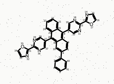 c1ccc(-c2ccc3c(-c4cnc(-c5ncco5)nc4)c4ccccc4c(-c4cnc(-c5ncco5)nc4)c3c2)cc1